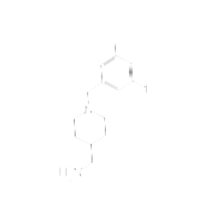 NCC1CCN(Cc2cc(F)cc(F)c2)CC1